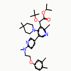 Cc1ccc(OCCN(C)c2ccc(-c3cnc(C)c([C@H](OC(C)(C)C)C(=O)OC(C)C)c3N3CCC(C)(C)CC3)cn2)cc1C